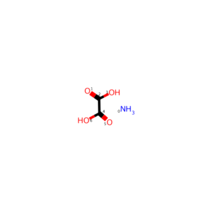 N.O=C(O)C(=O)O